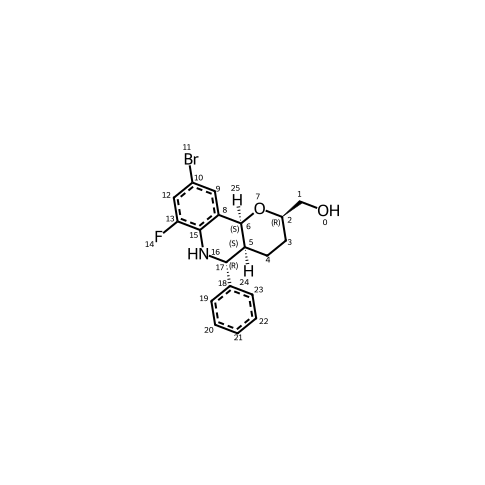 OC[C@H]1CC[C@@H]2[C@H](O1)c1cc(Br)cc(F)c1N[C@H]2c1ccccc1